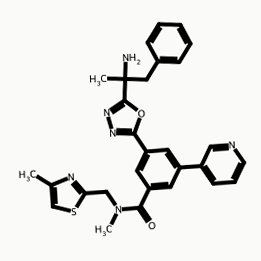 Cc1csc(CN(C)C(=O)c2cc(-c3cccnc3)cc(-c3nnc(C(C)(N)Cc4ccccc4)o3)c2)n1